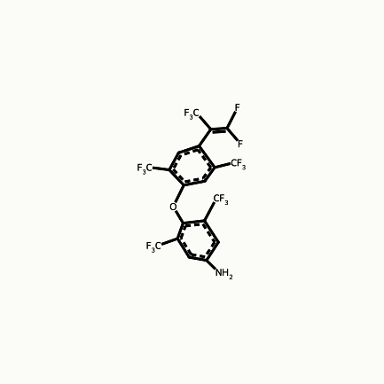 Nc1cc(C(F)(F)F)c(Oc2cc(C(F)(F)F)c(C(=C(F)F)C(F)(F)F)cc2C(F)(F)F)c(C(F)(F)F)c1